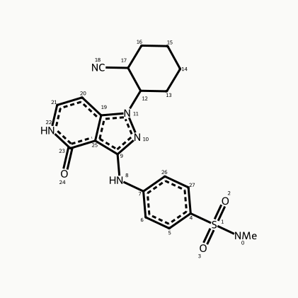 CNS(=O)(=O)c1ccc(Nc2nn(C3CCCCC3C#N)c3cc[nH]c(=O)c23)cc1